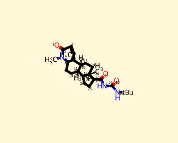 CN1C(=O)C=C[C@@]2(C)C1CC[C@@H]1[C@H]2CC[C@]2(C)C(C(=O)NC(=O)NC(C)(C)C)CC[C@@H]12